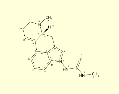 CNC(=S)Nn1cc2c3c(cccc31)C1=CCCN(C)[C@@H]1C2